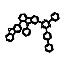 c1ccc(-c2ccc(-c3nc(-c4ccccc4)nc(-c4ccc5c6cccc(-c7ccc8c(c7)oc7ccccc78)c6n(-c6ccccc6)c5c4)n3)cc2)cc1